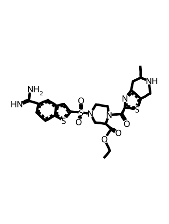 CCOC(=O)C1CN(S(=O)(=O)c2cc3cc(C(=N)N)ccc3s2)CCN1C(=O)c1nc2c(s1)CNC(C)C2